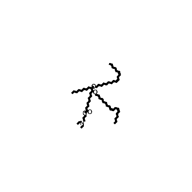 CCCCC/C=C\C/C=C\CCCCCCCCOC(CCCCCCCC)C(CCCCCCCC(=O)OCCCN(CC)CC)OCCCCCCCC/C=C\C/C=C\CCCCC